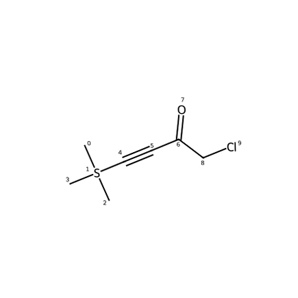 CS(C)(C)C#CC(=O)CCl